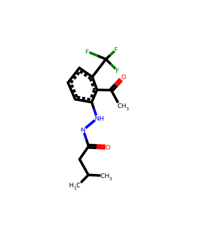 CC(=O)c1c(N[N]C(=O)CC(C)C)cccc1C(F)(F)F